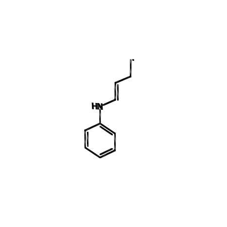 [CH2]CC=CNc1ccccc1